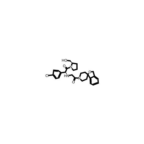 O=C(CN[C@@H](C(=O)N1CCC[C@@H]1CO)c1ccc(Cl)cc1)N1CCC2(CC1)OCc1ccccc12